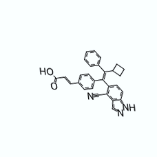 N#Cc1c(/C(=C(/c2ccccc2)C2CCC2)c2ccc(/C=C/C(=O)O)cc2)ccc2[nH]ncc12